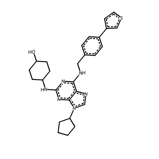 OC1CCC(Nc2nc(NCc3ccc(-c4ccsc4)cc3)c3ncn(C4CCCC4)c3n2)CC1